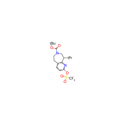 CC(C)C1CN(C(=O)OC(C)(C)C)CCc2ccc(OS(=O)(=O)C(F)(F)F)nc21